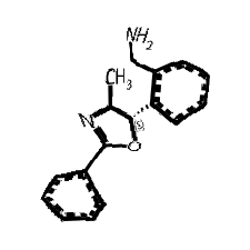 CC1N=C(c2ccccc2)O[C@H]1c1ccccc1CN